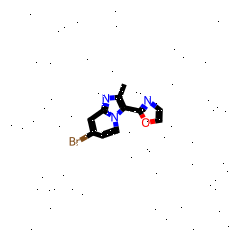 Cc1nc2cc(Br)ccn2c1-c1ncco1